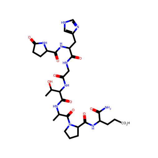 CC(NC(=O)C(NC(=O)CNC(=O)C(Cc1c[nH]cn1)NC(=O)C1CCC(=O)N1)C(C)O)C(=O)N1CCCC1C(=O)NC(CCC(=O)O)C(N)=O